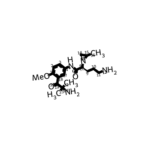 COc1ccc(NC(=O)[C@H](CCCN)[N@@]2CC2C)cc1C(=O)C(C)(C)N